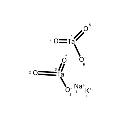 [K+].[Na+].[O]=[Ta](=[O])[O-].[O]=[Ta](=[O])[O-]